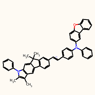 Cc1c(C)n(-c2ccccc2)c2cc3c(cc12)-c1ccc(/C=C/c2ccc(N(c4ccccc4)c4ccc5oc6ccccc6c5c4)cc2)cc1C3(C)C